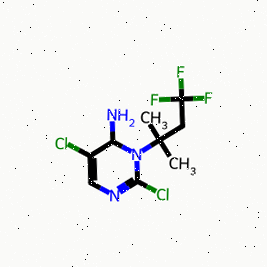 CC(C)(CC(F)(F)F)N1C(Cl)=NC=C(Cl)C1N